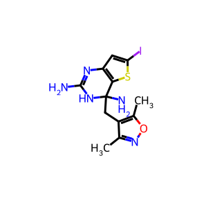 Cc1noc(C)c1CC1(N)NC(N)=Nc2cc(I)sc21